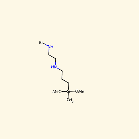 CCNCCNCCC[Si](C)(OC)OC